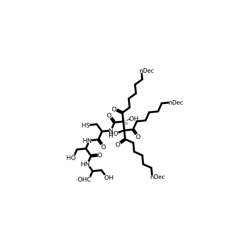 CCCCCCCCCCCCCCCC(=O)C(O)(C(=O)CCCCCCCCCCCCCCC)[C@](O)(C(=O)CCCCCCCCCCCCCCC)C(=O)NC(CS)C(=O)NC(CO)C(=O)NC([C]=O)CO